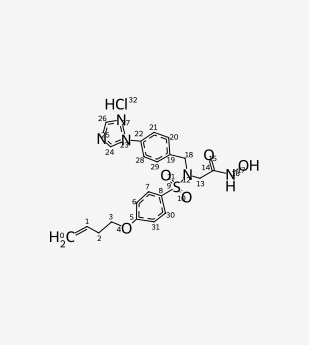 C=CCCOc1ccc(S(=O)(=O)N(CC(=O)NO)Cc2ccc(-n3cncn3)cc2)cc1.Cl